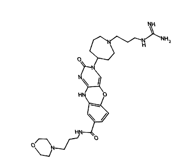 N=C(N)NCCCN1CCCC(n2cc3c(nc2=O)Nc2cc(C(=O)NCCCN4CCOCC4)ccc2O3)CC1